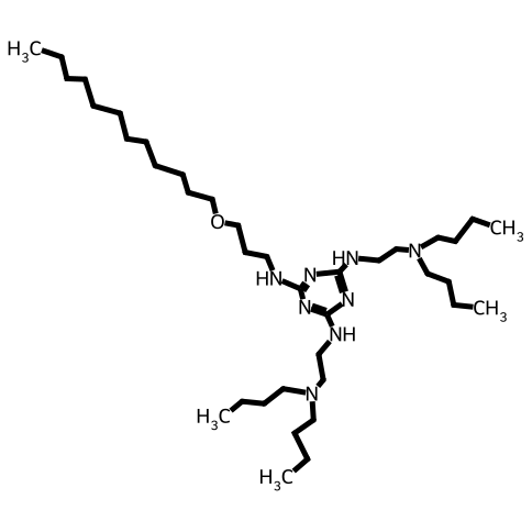 CCCCCCCCCCCCOCCCNc1nc(NCCN(CCCC)CCCC)nc(NCCN(CCCC)CCCC)n1